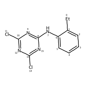 CCc1ccccc1Nc1nc(Cl)nc(Cl)n1